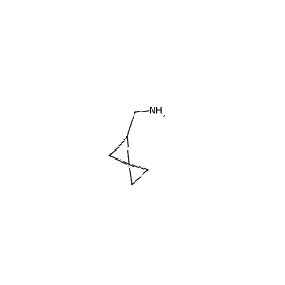 NCC1CC12CC2